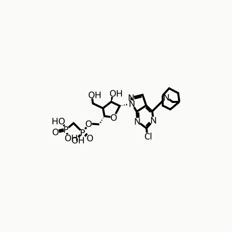 O=P(O)(O)CP(=O)(O)OC[C@H]1O[C@@H](n2ncc3c(N4CC5CCC4CC5)nc(Cl)nc32)[C@H](O)C1CO